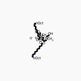 CCCCCCCC/C=C\CCCCCCCC(=O)OC(C[N+](C)(C)CCO)C(C[N+](C)(C)CCO)OC(=O)CCCCCCC/C=C\CCCCCCCC.[I-].[I-]